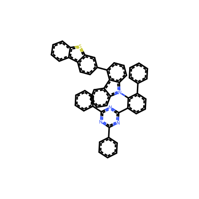 c1ccc(-c2nc(-c3ccccc3)nc(-c3cccc(-c4ccccc4)c3-n3c4ccccc4c4c(-c5ccc6c(c5)sc5ccccc56)cccc43)n2)cc1